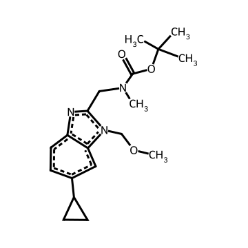 COCn1c(CN(C)C(=O)OC(C)(C)C)nc2ccc(C3CC3)cc21